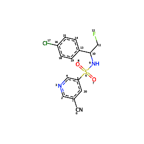 N#Cc1cncc(S(=O)(=O)NC(CF)c2ccc(Cl)cc2)c1